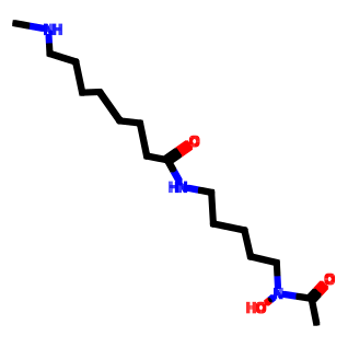 CNCCCCCCCC(=O)NCCCCCN(O)C(C)=O